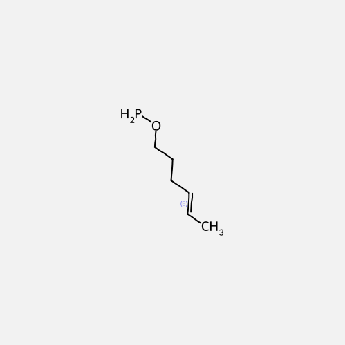 C/C=C/CCCOP